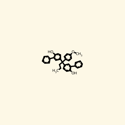 CCCC(c1ccc(OC)cc1)(c1ccc(O)c(-c2ccccc2)c1)c1ccc(O)c(-c2ccccc2)c1